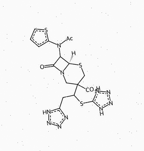 CC(=O)N(c1cccs1)C1C(=O)N2CC(C(=O)O)(C(Cc3nnn[nH]3)Sc3nnn[nH]3)CS[C@H]12